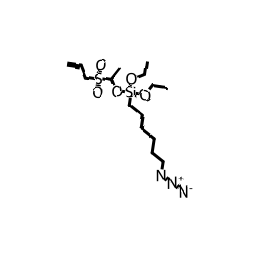 C=CCS(=O)(=O)C(C)O[Si](CCCCCCN=[N+]=[N-])(OCC)OCC